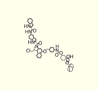 O=C(Nc1ccc(COc2cc3c(c4ccccc24)C(CCl)CN3C(=O)c2cc3cc(NC(=O)c4cc5ccccc5[nH]4)ccc3[nH]2)cc1)OC1CCC[C@@](O)(OOC2C3CC4CC(C3)CC2C4)C1